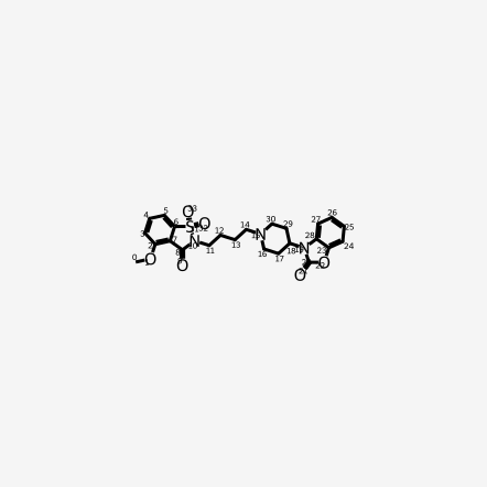 COc1cccc2c1C(=O)N(CCCCN1CCC(n3c(=O)oc4ccccc43)CC1)S2(=O)=O